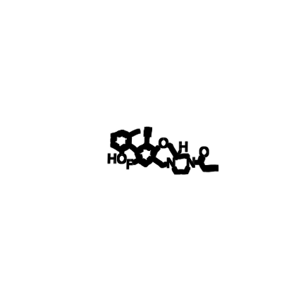 C#Cc1c2c(cc(F)c1-c1c(C)cccc1O)CN1CCN(C(=O)C=C)C[C@@H]1CO2